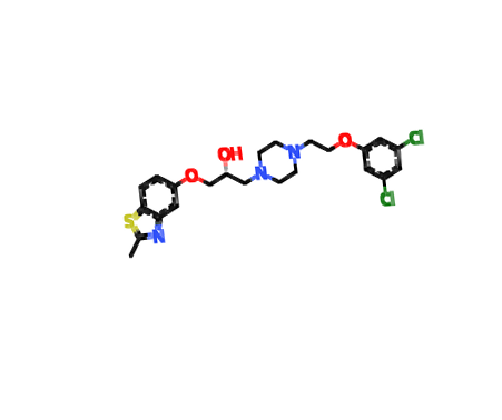 Cc1nc2cc(OC[C@H](O)CN3CCN(CCOc4cc(Cl)cc(Cl)c4)CC3)ccc2s1